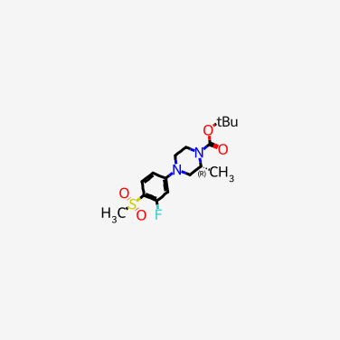 C[C@@H]1CN(c2ccc(S(C)(=O)=O)c(F)c2)CCN1C(=O)OC(C)(C)C